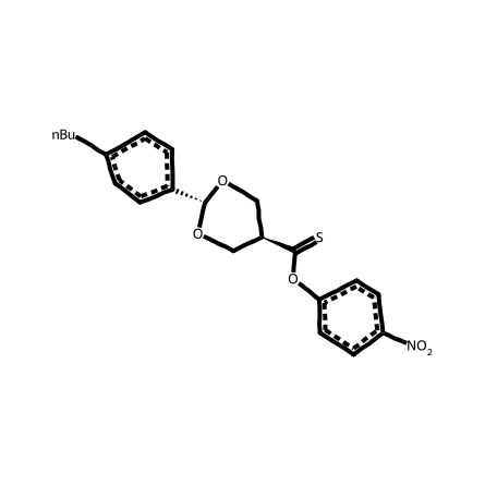 CCCCc1ccc([C@H]2OC[C@H](C(=S)Oc3ccc([N+](=O)[O-])cc3)CO2)cc1